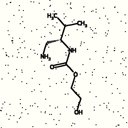 CC(C)[C@@H](CN)NC(=O)OCCO